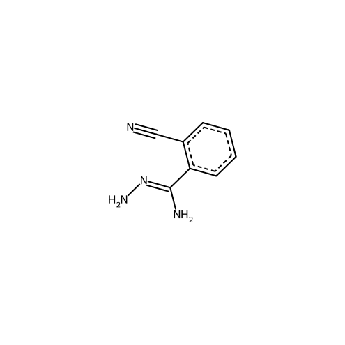 N#Cc1ccccc1C(N)=NN